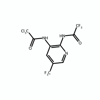 O=C(Nc1ncc(C(F)(F)F)cc1NC(=O)C(Cl)(Cl)Cl)C(F)(F)F